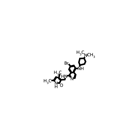 Cc1cc(C)c(CNc2nccc3c(NC4CCC(N(C)C)CC4)cc(Br)cc23)c(=O)[nH]1